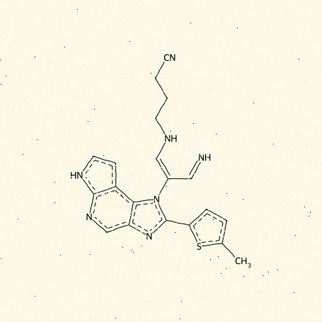 Cc1ccc(-c2nc3cnc4[nH]ccc4c3n2/C(C=N)=C/NCCCC#N)s1